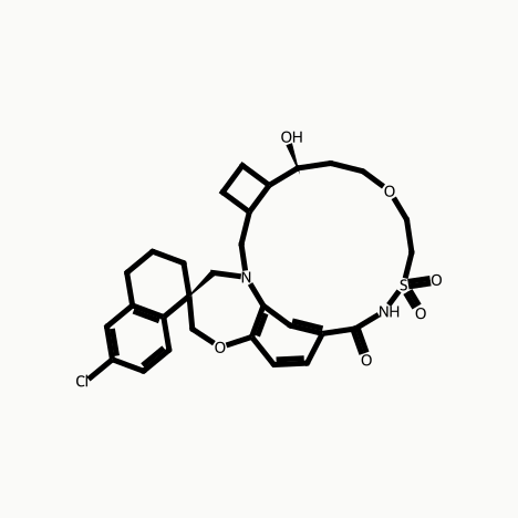 O=C1NS(=O)(=O)CCOCC[C@H](O)C2CCC2CN2C[C@@]3(CCCc4cc(Cl)ccc43)COc3ccc1cc32